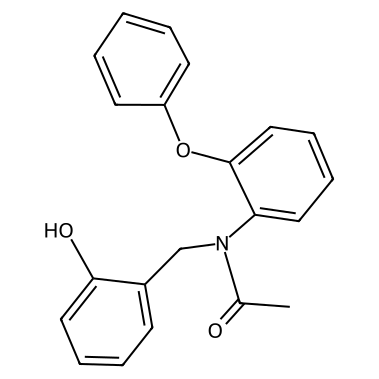 CC(=O)N(Cc1ccccc1O)c1ccccc1Oc1ccccc1